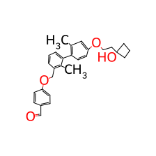 Cc1cc(OCCC2(O)CCC2)ccc1-c1cccc(COc2ccc(C=O)cc2)c1C